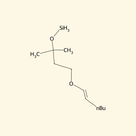 CCCCC=COCCC(C)(C)O[SiH3]